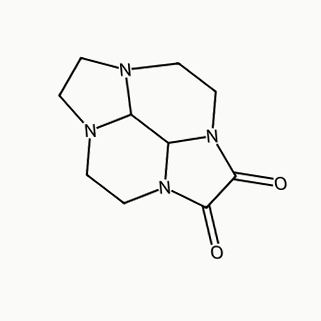 O=C1C(=O)N2CCN3CCN4CCN1C2C43